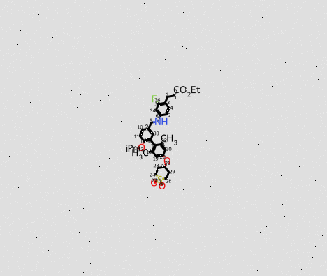 CCOC(=O)CCc1ccc(NCc2ccc(OC(C)C)c(-c3c(C)cc(OC4CCS(=O)(=O)CC4)cc3C)c2)cc1F